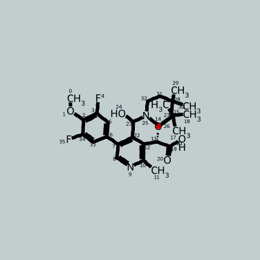 COc1c(F)cc(-c2cnc(C)c([C@H](OC(C)(C)C)C(=O)O)c2C(O)N2CCC(C)(C)CC2)cc1F